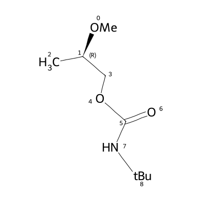 CO[C@H](C)COC(=O)NC(C)(C)C